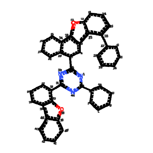 c1ccc(-c2nc(-c3cc4c(oc5cccc(-c6ccccc6)c54)c4ccccc34)nc(-c3cccc4c3oc3ccccc34)n2)cc1